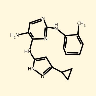 Cc1ccccc1Nc1ncc(N)c(Nc2cc(C3CC3)n[nH]2)n1